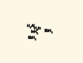 [AlH3].[InH3].[InH3].[SbH3].[SbH3]